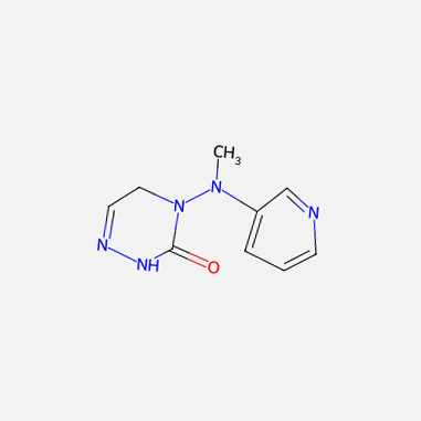 CN(c1cccnc1)N1CC=NNC1=O